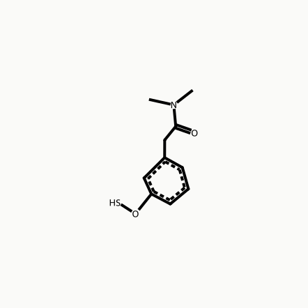 CN(C)C(=O)Cc1cccc(OS)c1